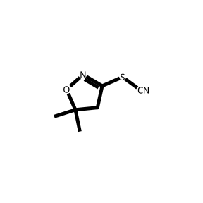 CC1(C)CC(SC#N)=NO1